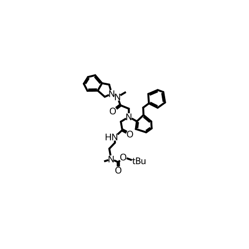 CN(CCNC(=O)CN(CC(=O)N(C)N1Cc2ccccc2C1)c1ccccc1Cc1ccccc1)C(=O)OC(C)(C)C